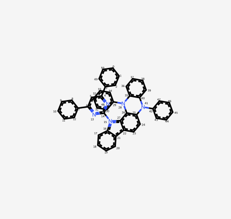 c1ccc(-c2cc(-c3ccccc3)nc(-n3c4ccccc4c4ccc5c(c43)N(c3ccccc3)c3ccccc3N5c3ccccc3)n2)cc1